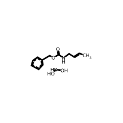 C/C=C/CNC(=O)OCc1ccccc1.OBO